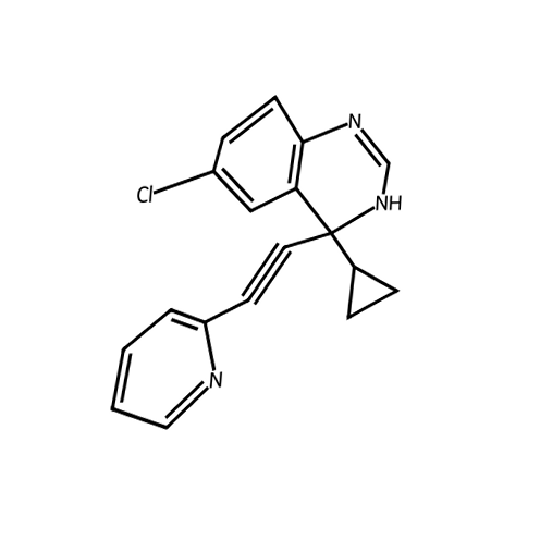 Clc1ccc2c(c1)C(C#Cc1ccccn1)(C1CC1)NC=N2